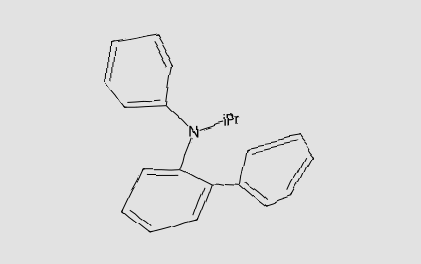 CC(C)N(c1ccccc1)c1ccccc1-c1ccccc1